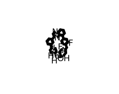 OS1(O)CCN(Cc2c(F)cc(-c3cccc4ncc(-c5cccc(N6CCNCC6)c5)nc34)cc2F)CC1